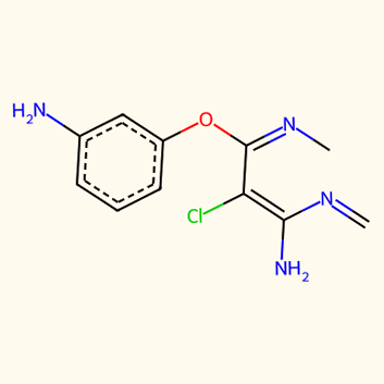 C=N/C(N)=C(Cl)\C(=N/C)Oc1cccc(N)c1